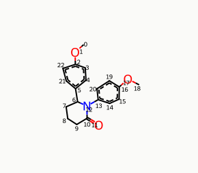 COc1ccc(C2CCCC(=O)N2c2ccc(OC)cc2)cc1